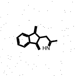 C=C1c2ccccc2C(=C)C1CC(C)=N